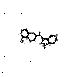 FC(F)(F)c1nccc2cc(Nc3n[nH]c4ccccc34)ccc12